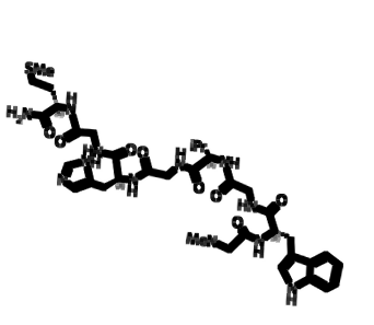 CNCC(=O)N[C@@H](Cc1c[nH]c2ccccc12)C(=O)NCC(=O)N[C@H](C(=O)NCC(=O)N[C@@H](Cc1cnc[nH]1)C(=O)NCC(=O)N[C@@H](CCSC)C(N)=O)C(C)C